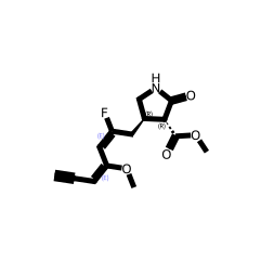 C#C/C=C(\C=C(\F)C[C@H]1CNC(=O)[C@@H]1C(=O)OC)OC